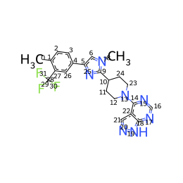 Cc1ccc(-c2cn(C)c(C3CCN(c4ncnc5[nH]ncc45)CC3)n2)cc1C(F)(F)F